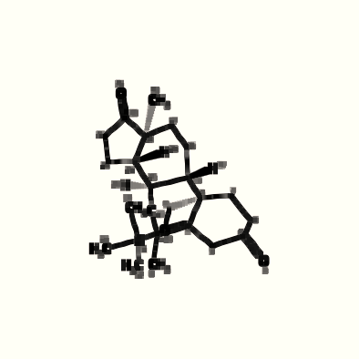 CC1=C2CC(=O)CC[C@]2(CO[Si](C)(C)C)[C@H]2CC[C@]3(C)C(=O)CC[C@H]3[C@@H]2C1